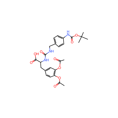 CC(=O)Oc1ccc(CC(NC(=O)NCc2ccc(NC(=O)OC(C)(C)C)cc2)C(=O)O)cc1OC(C)=O